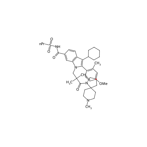 CCCS(=O)(=O)NC(=O)c1ccc2c(C3CCCCC3)c(-c3ccc(OC)cc3C)n(CC(C)(C)C(=O)N3CCCC34CCN(C)CC4)c2c1